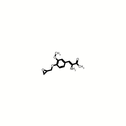 COc1cc(C=C(N)C(C)=O)ccc1OCC1CO1